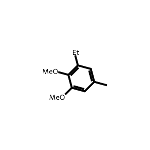 CCc1cc(C)cc(OC)c1OC